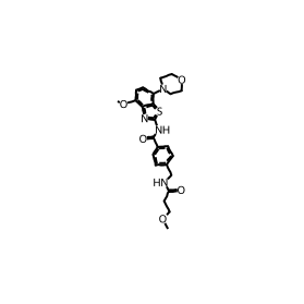 COCCC(=O)NCc1ccc(C(=O)Nc2nc3c(OC)ccc(N4CCOCC4)c3s2)cc1